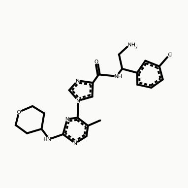 Cc1cnc(NC2CCOCC2)nc1-n1cnc(C(=O)NC(CN)c2cccc(Cl)c2)c1